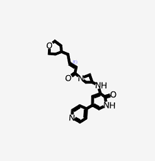 O=C(/C=C/CC1CCOCC1)N1CC(Nc2cc(-c3ccncc3)c[nH]c2=O)C1